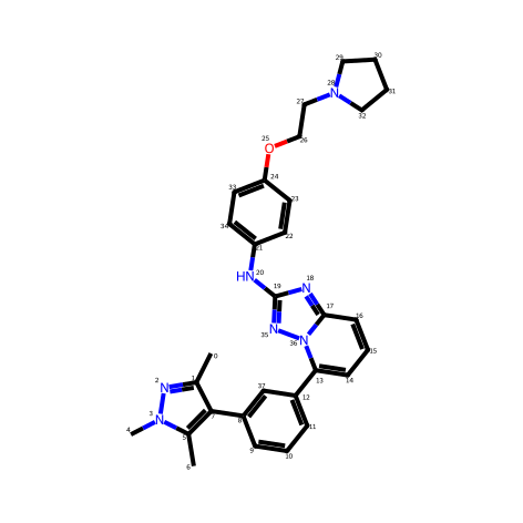 Cc1nn(C)c(C)c1-c1cccc(-c2cccc3nc(Nc4ccc(OCCN5CCCC5)cc4)nn23)c1